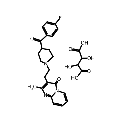 Cc1nc2ccccn2c(=O)c1CCN1CCC(C(=O)c2ccc(F)cc2)CC1.O=C(O)C(O)C(O)C(=O)O